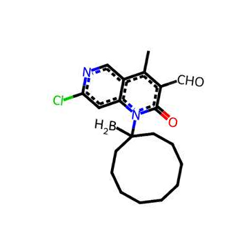 BC1(n2c(=O)c(C=O)c(C)c3cnc(Cl)cc32)CCCCCCCCC1